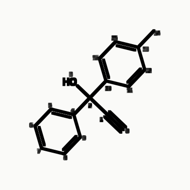 C#CC(O)(c1ccccc1)c1ccc(C)cc1